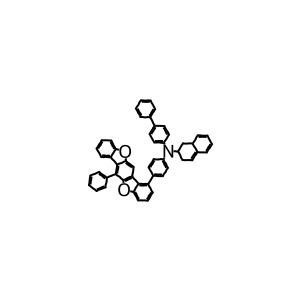 C1=CC2=CCC(N(c3ccc(-c4ccccc4)cc3)c3ccc(-c4cccc5oc6c(-c7ccccc7)c7c(cc6c45)oc4ccccc47)cc3)CC2C=C1